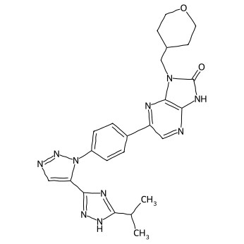 CC(C)c1nc(-c2cnnn2-c2ccc(-c3cnc4[nH]c(=O)n(CC5CCOCC5)c4n3)cc2)n[nH]1